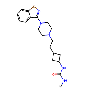 CCNC(=O)NC1CC(CCN2CCN(c3nsc4ccccc34)CC2)C1